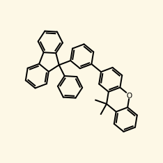 CC1(C)c2ccccc2Oc2ccc(-c3cccc(C4(c5ccccc5)c5ccccc5-c5ccccc54)c3)cc21